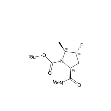 CNC(=O)[C@@H]1C[C@@H](F)[C@H](C)N1C(=O)OC(C)(C)C